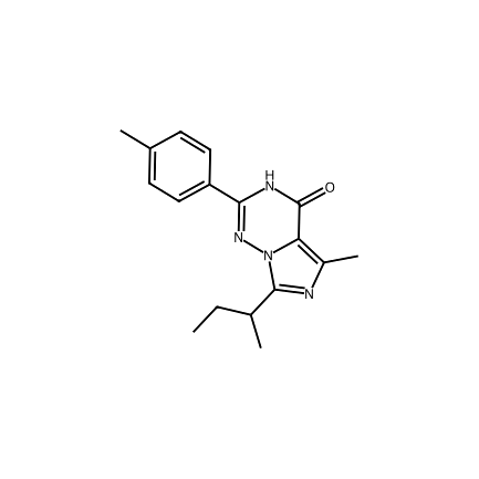 CCC(C)c1nc(C)c2c(=O)[nH]c(-c3ccc(C)cc3)nn12